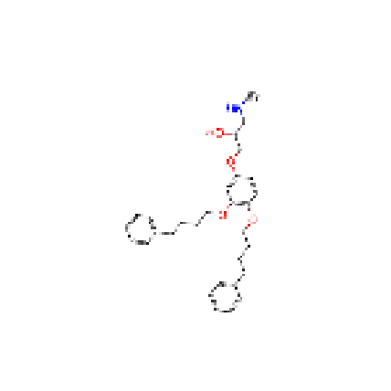 CC(C)NCC(O)COc1ccc(OCCCCc2ccccc2)c(OCCCCc2ccccc2)c1